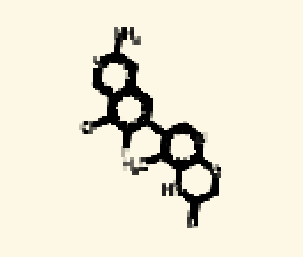 Cc1c(-c2cc3cc(N)ncc3c(Cl)c2F)cnc2c1NC(=O)CO2